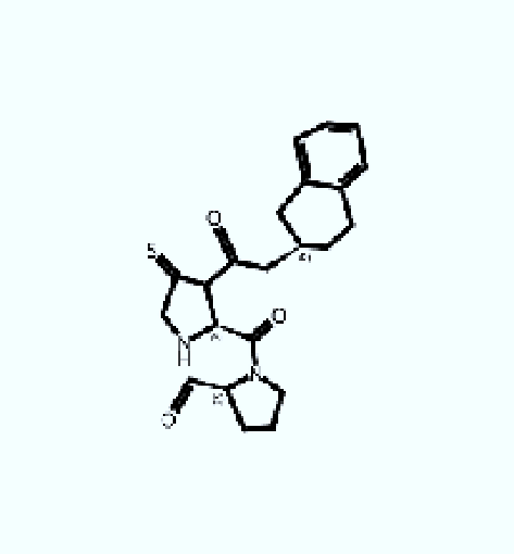 O=C[C@@H]1CCCN1C(=O)[C@H]1NCC(=S)C1C(=O)C[C@@H]1CCc2ccccc2C1